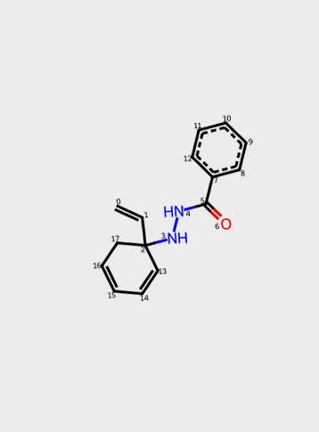 C=CC1(NNC(=O)c2ccccc2)C=CC=CC1